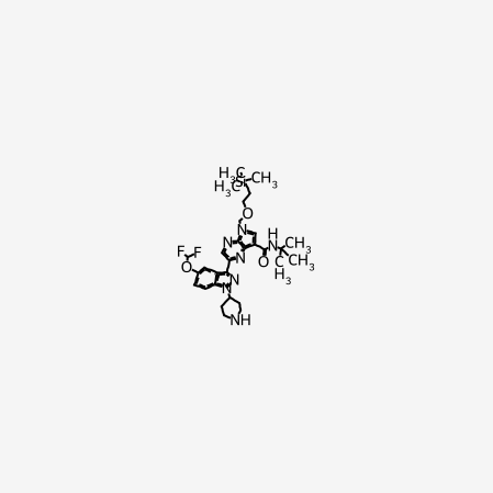 CC(C)(C)NC(=O)c1cn(COCC[Si](C)(C)C)c2ncc(-c3nn(C4CCNCC4)c4ccc(OC(F)F)cc34)nc12